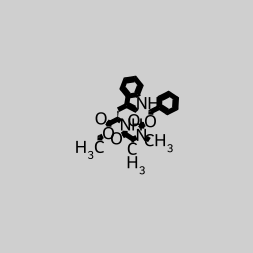 CCOC(=O)[C@H](Cc1c[nH]c2ccccc12)NC(=O)[C@H](C)N(C)C(=O)OCc1ccccc1